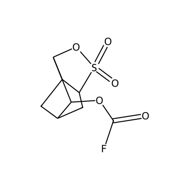 O=C(F)OC1C2CC3C1OS(=O)(=O)C3C2